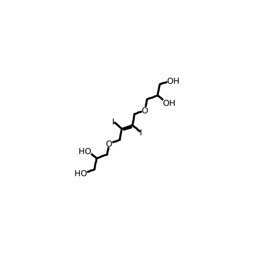 OCC(O)COCC(I)=C(I)COCC(O)CO